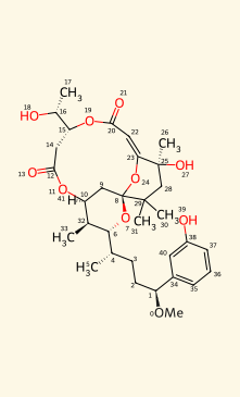 CO[C@@H](CC[C@H](C)[C@H]1O[C@@]23C[C@H](OC(=O)C[C@H]([C@@H](C)O)OC(=O)/C=C(\O2)[C@@](C)(O)CC3(C)C)[C@@H]1C)c1cccc(O)c1